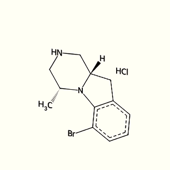 C[C@@H]1CNC[C@@H]2Cc3cccc(Br)c3N21.Cl